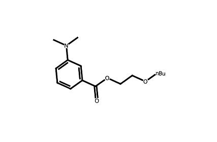 CCCCOCCOC(=O)c1cccc(N(C)C)c1